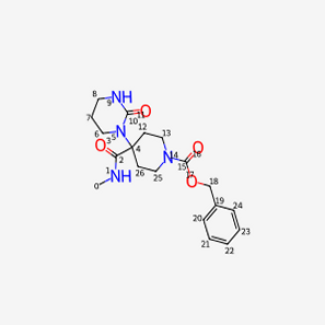 CNC(=O)C1(N2CCCNC2=O)CCN(C(=O)OCc2ccccc2)CC1